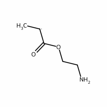 C[CH]C(=O)OCCN